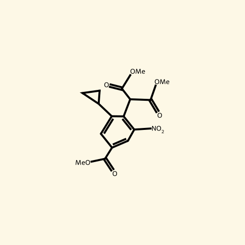 COC(=O)c1cc(C2CC2)c(C(C(=O)OC)C(=O)OC)c([N+](=O)[O-])c1